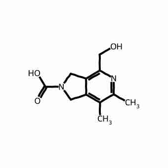 Cc1nc(CO)c2c(c1C)CN(C(=O)O)C2